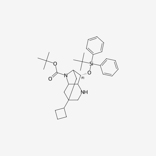 CC(C)(C)OC(=O)N1C2CC3(C4CCC4)CNC2[C@@H](O[Si](c2ccccc2)(c2ccccc2)C(C)(C)C)C1C3